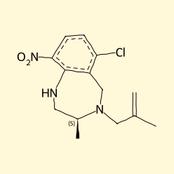 C=C(C)CN1Cc2c(Cl)ccc([N+](=O)[O-])c2NC[C@@H]1C